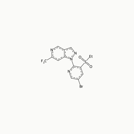 CCS(=O)(=O)c1cc(Br)cnc1-n1ncc2cnc(C(F)(F)F)cc21